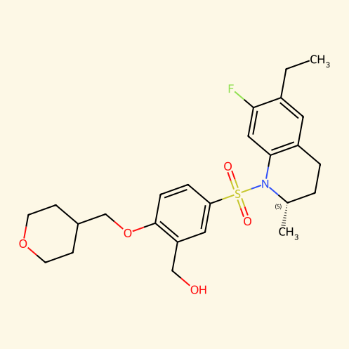 CCc1cc2c(cc1F)N(S(=O)(=O)c1ccc(OCC3CCOCC3)c(CO)c1)[C@@H](C)CC2